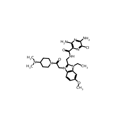 CCn1c(CNC(=O)c2nc(Cl)c(N)nc2N)[n+](CC(=O)N2CCC(N(C)C)CC2)c2ccc(OC)cc21